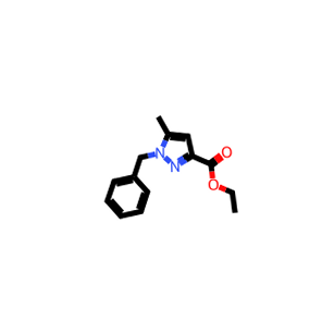 CCOC(=O)c1cc(C)n(Cc2ccccc2)n1